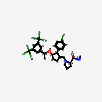 CNC(=O)[C@H]1CCCN1CC1CCC(O[C@@H](C)c2cc(C(F)(F)F)cc(C(F)(F)F)c2)C1c1ccc(F)cc1